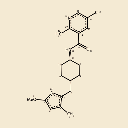 COc1cc(C)n(C[C@H]2CC[C@H](NC(=O)c3cc(Cl)cnc3C)CC2)n1